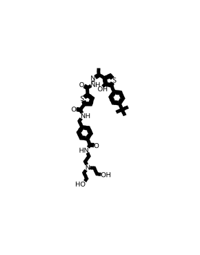 CC(=NNC(=O)c1ccc(C(=O)NCc2ccc(C(=O)NCCN(CCO)CCO)cc2)s1)c1csc(-c2ccc(C(C)(C)C)cc2)c1O